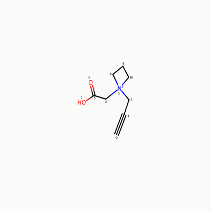 C#CC[N+]1(CC(=O)O)CCC1